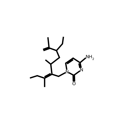 C=C(C)C(CC)CC(C)/C(Cn1ccc(N)nc1=O)=C(/C)CC